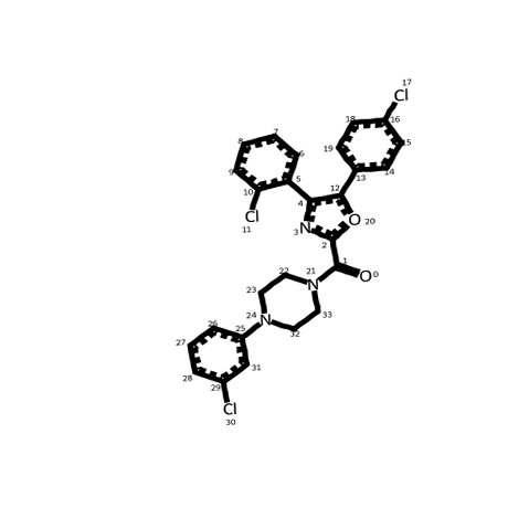 O=C(c1nc(-c2ccccc2Cl)c(-c2ccc(Cl)cc2)o1)N1CCN(c2cccc(Cl)c2)CC1